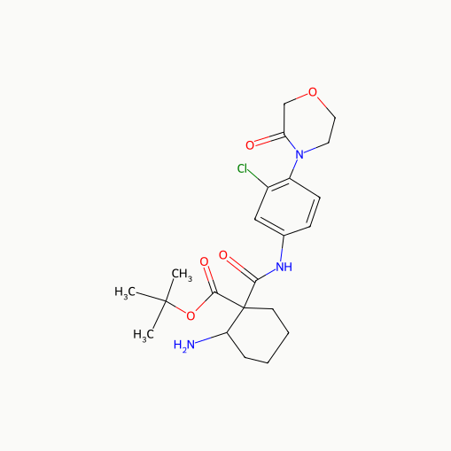 CC(C)(C)OC(=O)C1(C(=O)Nc2ccc(N3CCOCC3=O)c(Cl)c2)CCCCC1N